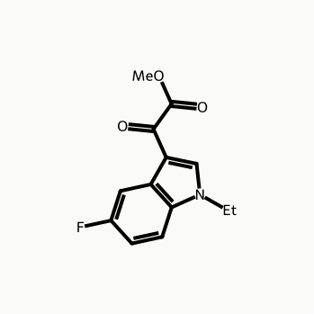 CCn1cc(C(=O)C(=O)OC)c2cc(F)ccc21